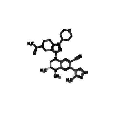 CC(=O)N1CCc2c(c(N3C[C@@H](C)N(C)c4cc(-c5c[nH]nc5C)c(C#N)cc43)nn2C2CCOCC2)C1